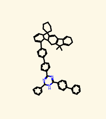 CC1(C)C2=CCCC=C2C2=C1CC1C(=C2)C2(CCCCC2)C2C=CC=C(c3ccc(-c4ccc(C5=NC(c6ccccc6)NC(c6ccc(-c7ccccc7)cc6)=N5)cc4)cc3)C12